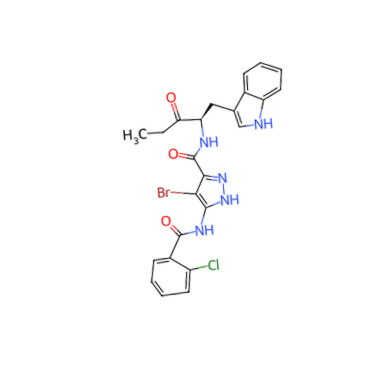 CCC(=O)[C@@H](Cc1c[nH]c2ccccc12)NC(=O)c1n[nH]c(NC(=O)c2ccccc2Cl)c1Br